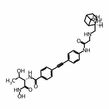 C[C@@H](O)[C@H](NC(=O)c1ccc(C#Cc2ccc(NC(=O)CNC[C@@H]3CCC4CC3C4(C)C)cc2)cc1)C(=O)NO